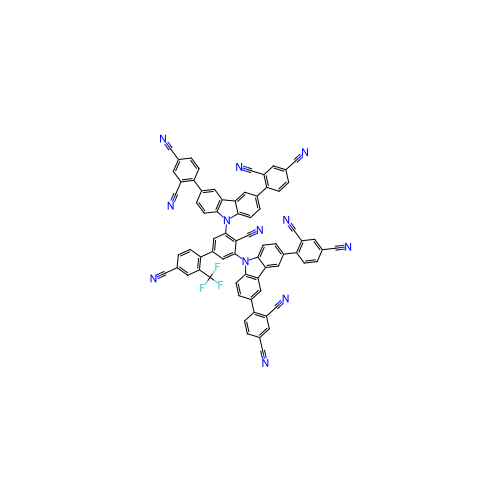 N#Cc1ccc(-c2ccc3c(c2)c2cc(-c4ccc(C#N)cc4C#N)ccc2n3-c2cc(-c3ccc(C#N)cc3C(F)(F)F)cc(-n3c4ccc(-c5ccc(C#N)cc5C#N)cc4c4cc(-c5ccc(C#N)cc5C#N)ccc43)c2C#N)c(C#N)c1